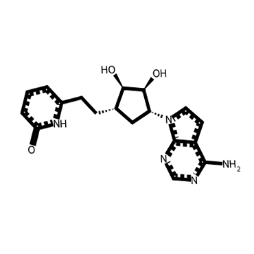 Nc1ncnc2c1ccn2[C@@H]1C[C@H](CCc2cccc(=O)[nH]2)[C@@H](O)[C@H]1O